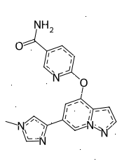 Cn1cnc(-c2cc(Oc3ccc(C(N)=O)cn3)c3ccnn3c2)c1